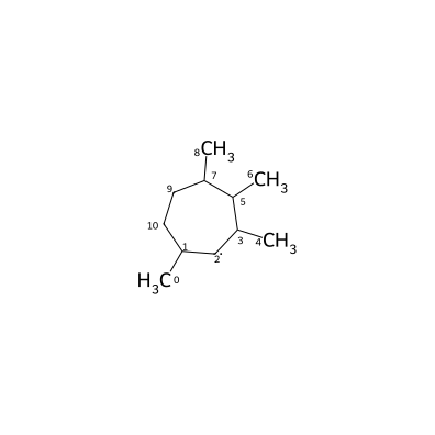 CC1[CH]C(C)C(C)C(C)CC1